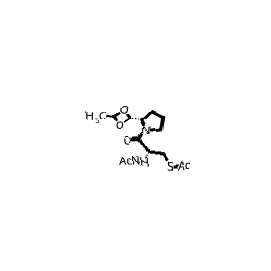 CC(=O)N[C@@H](CSC(C)=O)C(=O)N1CCC[C@H]1C1OC(C)O1